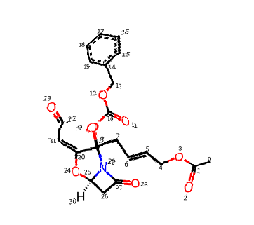 CC(=O)OCC=CCC1(OC(=O)OCc2ccccc2)C(=CC=O)O[C@@H]2CC(=O)N21